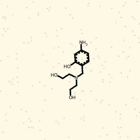 Nc1ccc(CN(CCO)CCO)c(O)c1